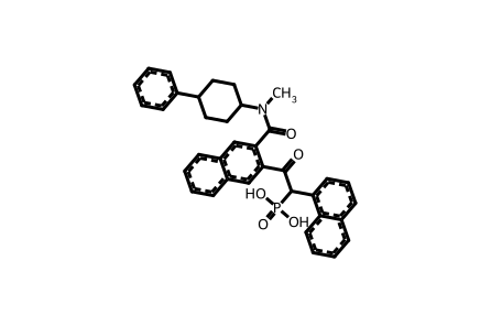 CN(C(=O)c1cc2ccccc2cc1C(=O)C(c1cccc2ccccc12)P(=O)(O)O)C1CCC(c2ccccc2)CC1